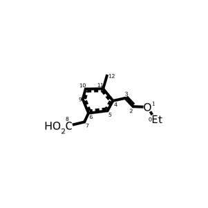 CCO/C=C/c1cc(CC(=O)O)ccc1C